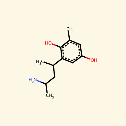 Cc1cc(O)cc(C(C)CC(C)N)c1O